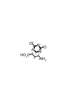 Clc1ncnc(Cl)n1.NCCCC(=O)O